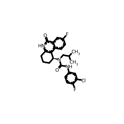 CC(C)CN(C(=O)Nc1ccc(F)c(Cl)c1)[C@H]1CCCc2[nH]c(=O)c3cc(F)ccc3c21